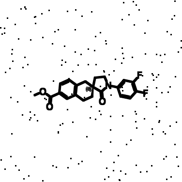 COC(=O)c1ccc2c(c1)CC[C@]1(CCN(c3ccc(F)c(F)c3)C1=O)C2